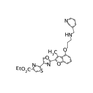 CCOC(=O)c1csc(-c2coc(-c3oc4cccc(OCCCNCc5cccnc5)c4c3C)n2)n1